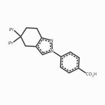 CC(C)C1(C(C)C)CCc2nn(-c3ccc(C(=O)O)cc3)cc2C1